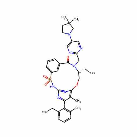 Cc1cccc(CC(C)(C)C)c1-c1nc2nc(c1C)OC[C@@H](CC(C)(C)C)N(Cc1ncc(N3CCC(C)(C)C3)cn1)C(=O)c1cccc(c1)S(=O)(=O)N2